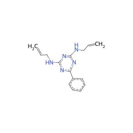 C=CCNc1nc(NCC=C)nc(-c2ccccc2)n1